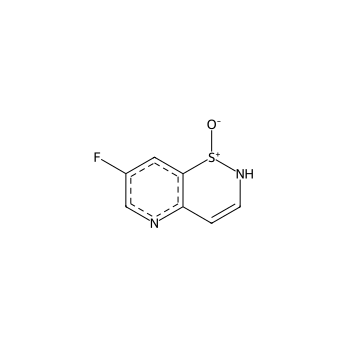 [O-][S+]1NC=Cc2ncc(F)cc21